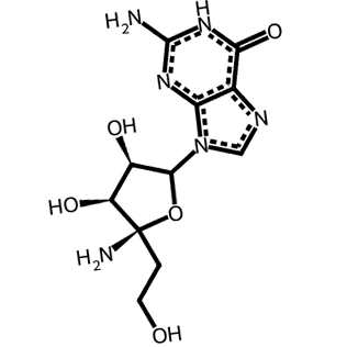 Nc1nc2c(ncn2C2O[C@](N)(CCO)[C@@H](O)[C@H]2O)c(=O)[nH]1